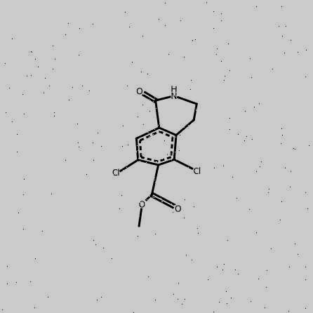 COC(=O)c1c(Cl)cc2c(c1Cl)CCNC2=O